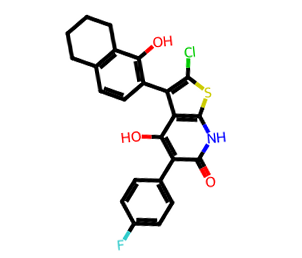 O=c1[nH]c2sc(Cl)c(-c3ccc4c(c3O)CCCC4)c2c(O)c1-c1ccc(F)cc1